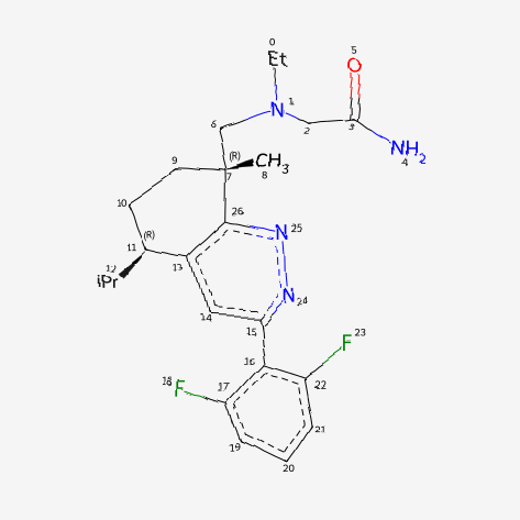 CCN(CC(N)=O)C[C@@]1(C)CC[C@H](C(C)C)c2cc(-c3c(F)cccc3F)nnc21